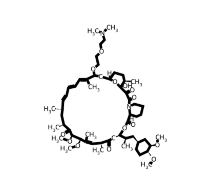 CO[C@@H]1/C(C)=C/[C@@H](C)C(=O)C[C@@H]([C@H](C)C[C@@H]2CC[C@@H](OC)[C@H](OC)C2)OC(=O)[C@@H]2CCCCN2C(=O)C(=O)[C@]2(O)O[C@@H](CC[C@H]2C)CC(OCCOCCN(C)C)/C(C)=C/C=C/C=C/[C@@H](C)C[C@@H](C)C(=O)[C@@H]1OC